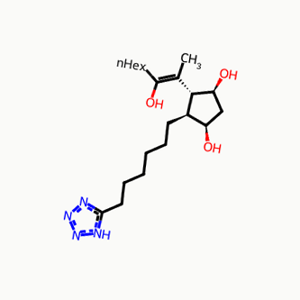 CCCCCCC(O)=C(C)[C@H]1[C@H](CCCCCCc2nnn[nH]2)[C@H](O)C[C@@H]1O